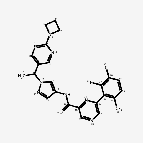 CC(c1cnc(N2CCC2)nc1)n1cc(NC(=O)c2cncc(-c3c(C(F)(F)F)ccc(Cl)c3F)n2)cn1